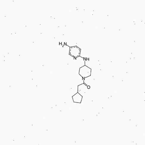 Nc1ccc(NC2CCN(C(=O)CC3CCCC3)CC2)nc1